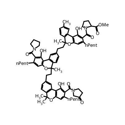 CCCCCc1cc2c(c(O)c1C(=O)N1CCC(=O)C1)-c1cc(CCC3(C)Oc4cc(CCCCC)c(C(=O)N5CCCC5)c(O)c4-c4cc(CCC5(C)Oc6cc(CCCCC)c(C(=O)N7CCCC7C(=O)OC)c(O)c6-c6cc(C)ccc65)ccc43)ccc1C(C)(C)O2